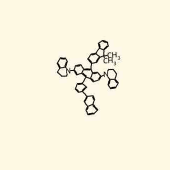 CC1(C)c2ccccc2-c2ccc(-c3c4ccc(N5CCCc6ccccc65)cc4c(-c4cccc(-c5ccc6ccccc6c5)c4)c4ccc(N5CCCc6ccccc65)cc34)cc21